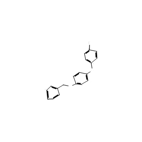 Fc1ccc(Oc2[c]cc(OCc3ccccc3)cc2)cc1